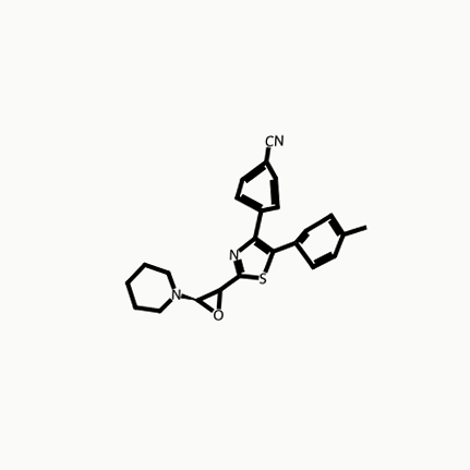 Cc1ccc(-c2sc(C3O[C@H]3N3CCCCC3)nc2-c2ccc(C#N)cc2)cc1